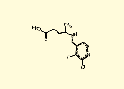 CC(CCC(=O)O)NCc1ccnc(Cl)c1F